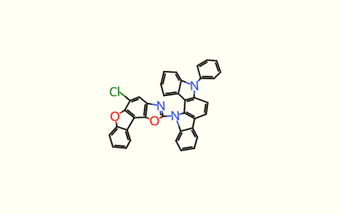 Clc1cc2nc(-n3c4ccccc4c4ccc5c(c6ccccc6n5-c5ccccc5)c43)oc2c2c1oc1ccccc12